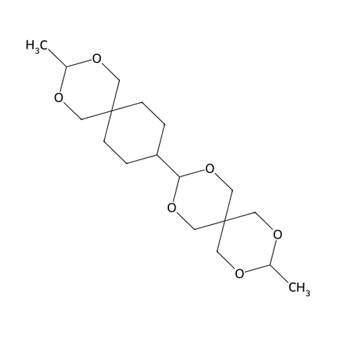 CC1OCC2(CCC(C3OCC4(COC(C)OC4)CO3)CC2)CO1